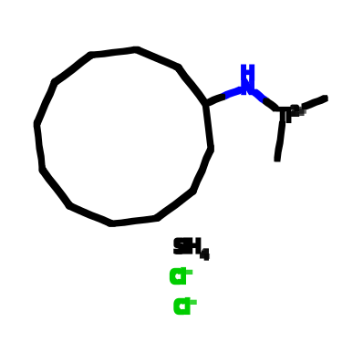 [CH3][Ti+2]([CH3])[NH]C1CCCCCCCCCCC1.[Cl-].[Cl-].[SiH4]